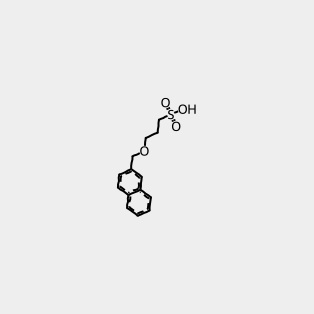 O=S(=O)(O)CCCOCc1ccc2ccccc2c1